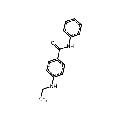 O=C(Nc1ccccc1)c1ccc(NCC(F)(F)F)cc1